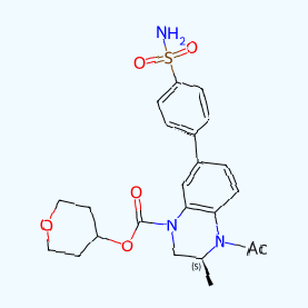 CC(=O)N1c2ccc(-c3ccc(S(N)(=O)=O)cc3)cc2N(C(=O)OC2CCOCC2)C[C@@H]1C